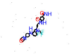 CNC(=O)c1ccc(NCC#Cc2cc3c(NC4CCC(N5CCOCC5)CC4)cccc3n2CC(F)(F)F)c(OC)c1